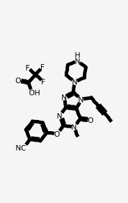 CC#CCn1c(N2CCNCC2)nc2nc(Oc3cccc(C#N)c3)n(C)c(=O)c21.O=C(O)C(F)(F)F